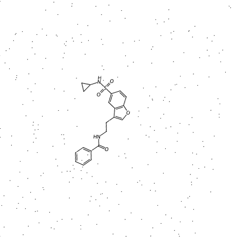 O=C(NCCc1coc2ccc(S(=O)(=O)NC3CC3)cc12)c1ccccc1